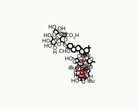 CC[C@H](C)[C@H](C[C@H](O)CC(=O)O[C@@H]1C(C)O[C@@H](OC(=O)[C@]23CCC(C)(C)CC2C2=CCC4[C@@]5(C)CC[C@H](O[C@@H]6OC(C(=O)O)[C@H](O)C(O[C@@H]7OC[C@@H](O)C(O)C7O)C6O[C@@H]6OC(CO)[C@H](O)C(O)C6O)[C@@](C)(C=O)C5CC[C@@]4(C)[C@]2(C)C[C@H]3O)C(O[C@@H]2OC(C)[C@H](O[C@H]3OCC(O)[C@H](O[C@@]4(O)COCC4(O)CO)C3O)C(O)C2O)C1O)OC(=O)C[C@@H](O)C[C@H](O[C@@H]1O[C@@H](CO)C(O)C1O)[C@@H](C)CC